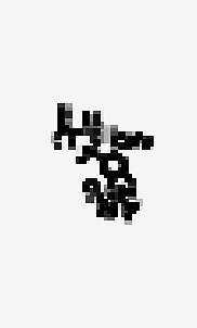 CCC(NC(=O)c1cc(N(S(C)(=O)=O)S(=O)(=O)N(C)C)c(C)cc1OC)C1CCCN1